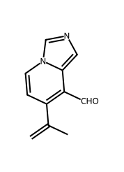 C=C(C)c1ccn2cncc2c1C=O